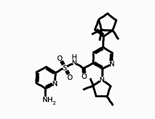 CC1CN(c2ncc(C3=CC4CCC3(C)C4(C)C)cc2C(=O)NS(=O)(=O)c2cccc(N)n2)C(C)(C)C1